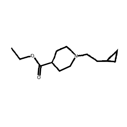 CCOC(=O)C1CCN(CCC2CC2)CC1